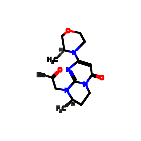 CCC(C)C(=O)CN1c2nc(N3CCOC[C@H]3C)cc(=O)n2CC[C@H]1C(F)(F)F